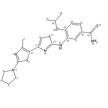 Cc1nc(N2CCCC2)sc1-c1csc(Nc2cc(C(N)=O)ccc2OC(C)C)n1